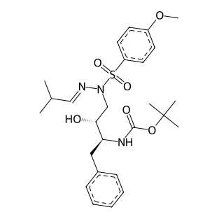 COc1ccc(S(=O)(=O)N(C[C@@H](O)[C@H](Cc2ccccc2)NC(=O)OC(C)(C)C)/N=C/C(C)C)cc1